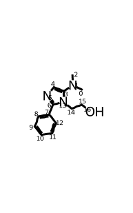 CN(C)c1cnc(-c2ccccc2)n1CCO